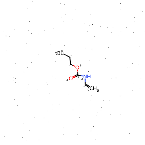 C=CNC(=O)OCCC(C)(C)C